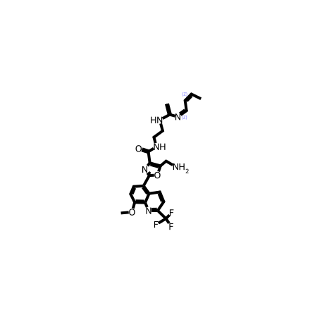 C=C(/N=C\C=C/C)NCCNC(=O)c1nc(-c2ccc(OC)c3nc(C(F)(F)F)ccc23)oc1CN